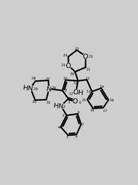 O=C(Nc1ccccc1)C(=CC(O)(Cc1ccccc1)C1COCCO1)N1CCNCC1